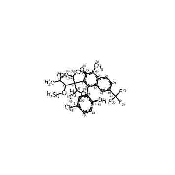 CC(C)C(O[SiH3])C(c1c(-c2cc(Cl)ccc2O)c2cc(C(F)(F)F)ccc2n(C)c1=O)(C(C)C)C(C)C